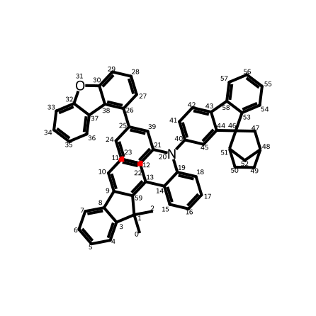 CC1(C)c2ccccc2-c2cccc(-c3ccccc3N(c3cccc(-c4cccc5oc6ccccc6c45)c3)c3ccc4c(c3)C3(CC5CCC3C5)c3ccccc3-4)c21